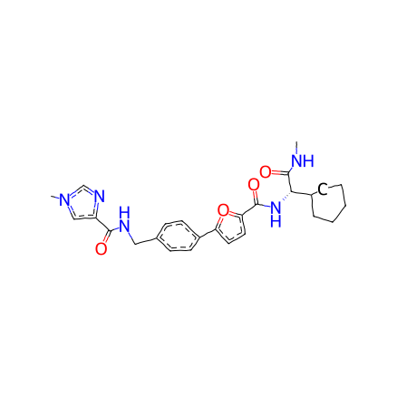 CNC(=O)[C@@H](NC(=O)c1ccc(-c2ccc(CNC(=O)c3cn(C)cn3)cc2)o1)C1CCCCC1